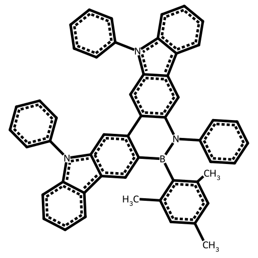 Cc1cc(C)c(B2c3cc4c5ccccc5n(-c5ccccc5)c4cc3-c3cc4c(cc3N2c2ccccc2)c2ccccc2n4-c2ccccc2)c(C)c1